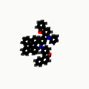 c1ccc(-n2c3cc(N(c4ccc5oc6ccc7ccccc7c6c5c4)c4cccc5c4-c4ccccc4C54c5ccccc5-c5ccccc54)ccc3c3c4oc5ccccc5c4ccc32)cc1